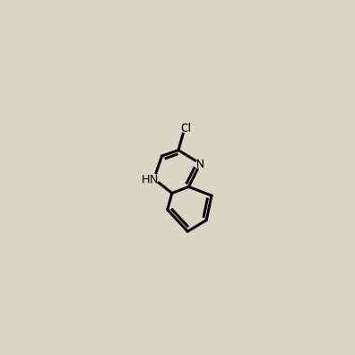 ClC1=CNC2C=CC=CC2=N1